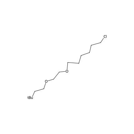 CC(C)(C)CCOCCOCCCCCCCl